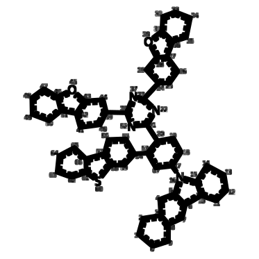 c1ccc2cc3c(cc2c1)c1ccccc1n3-c1ccc(-c2nc(-c3ccc4c(c3)oc3ccccc34)nc(-c3ccc4c(c3)oc3ccccc34)n2)c(-c2ccc3c(c2)sc2ccccc23)c1